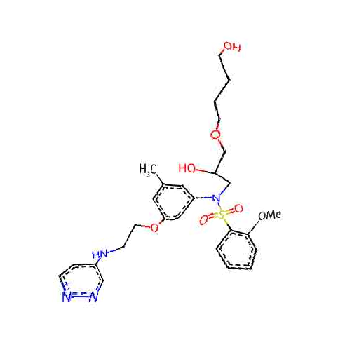 COc1ccccc1S(=O)(=O)N(CC(O)COCCCCO)c1cc(C)cc(OCCNc2ccnnc2)c1